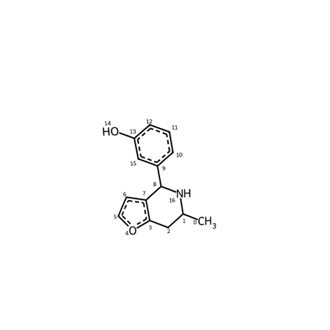 CC1Cc2occc2C(c2cccc(O)c2)N1